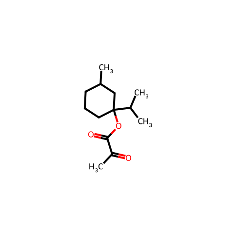 CC(=O)C(=O)OC1(C(C)C)CCCC(C)C1